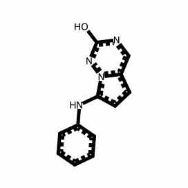 Oc1ncc2ccc(Nc3ccccc3)n2n1